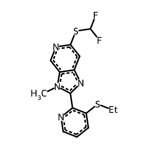 CCSc1cccnc1-c1nc2cc(SC(F)F)ncc2n1C